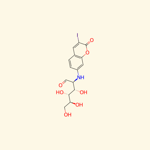 O=C[C@@H](Nc1ccc2cc(I)c(=O)oc2c1)[C@H](O)[C@@H](O)[C@@H](O)CO